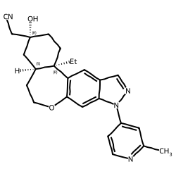 CC[C@@]12CC[C@](O)(CC#N)C[C@@H]1CCOc1cc3c(cnn3-c3ccnc(C)c3)cc12